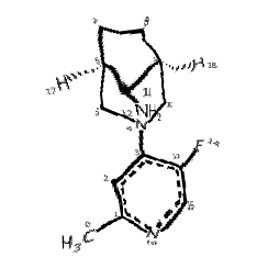 Cc1cc(N2C[C@H]3CC[C@@H](C2)C3N)c(F)cn1